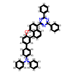 c1ccc(-c2nc(-c3ccccc3)nc(-c3ccc4c5c(cccc35)-c3cc(-c5ccc(N(c6ccccc6)c6ccccc6)cc5)ccc3O4)n2)cc1